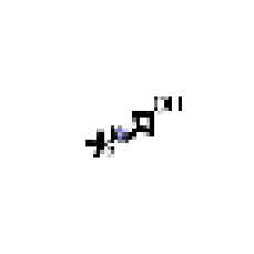 CC(C)(C)S/N=C/C1CC(O)C1